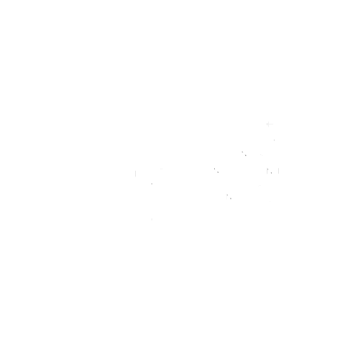 Cc1ccc(COc2ccc(-c3nc4c(c(=O)[nH]c(=O)n4CC(C)O)n3C)cc2C(F)(F)F)cc1